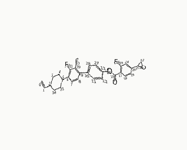 C=CC1CCC(c2ccc(-c3ccc(OC(=O)c4ccc(C5CO5)cc4F)cc3)c(F)c2F)CC1